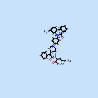 COC(=O)C(CCSC)NC(=O)C(c1ccccc1)C1CCN(c2ccc(NC(=O)c3ccccc3-c3ccc(C(F)(F)F)cc3)cc2)CC1